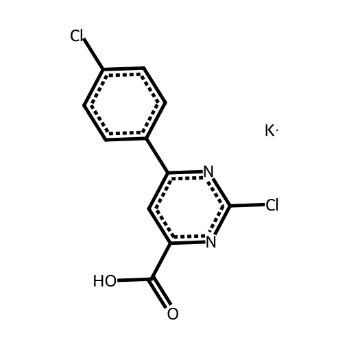 O=C(O)c1cc(-c2ccc(Cl)cc2)nc(Cl)n1.[K]